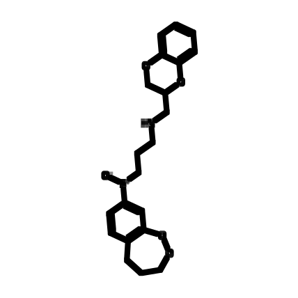 [O-][S+](CCCNCC1COc2ccccc2O1)c1ccc2c(c1)OOCCC2